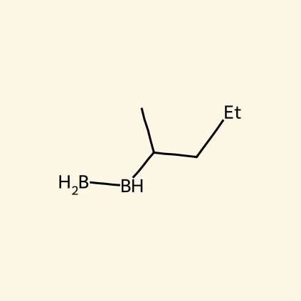 BBC(C)CCC